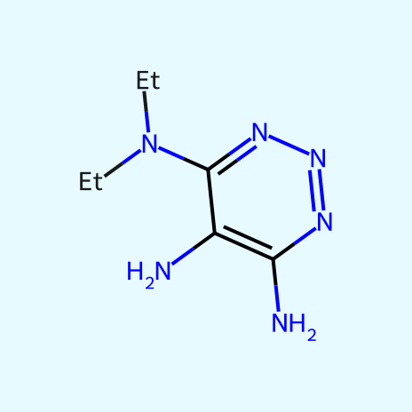 CCN(CC)c1nnnc(N)c1N